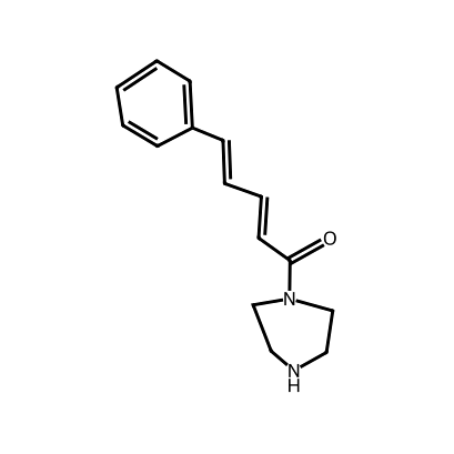 O=C(/C=C/C=C/c1ccccc1)N1CCNCC1